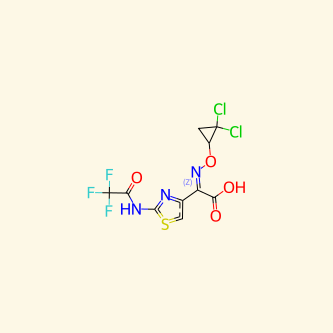 O=C(O)/C(=N\OC1CC1(Cl)Cl)c1csc(NC(=O)C(F)(F)F)n1